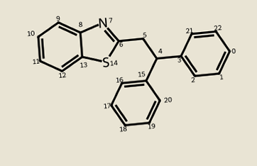 c1ccc(C(Cc2nc3ccccc3s2)c2ccccc2)cc1